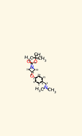 CN(C)Cc1ccc(OC2CN(C(=O)OC(C)(C)C)C2)cc1